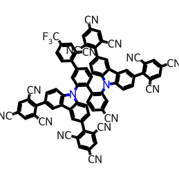 N#Cc1cc(C#N)c(-c2ccc3c(c2)c2cc(-c4c(C#N)cc(C#N)cc4C#N)ccc2n3-c2cc(C#N)ccc2-c2ccc(-c3ccc(C(F)(F)F)cc3C#N)cc2-n2c3ccc(-c4c(C#N)cc(C#N)cc4C#N)cc3c3cc(-c4c(C#N)cc(C#N)cc4C#N)ccc32)c(C#N)c1